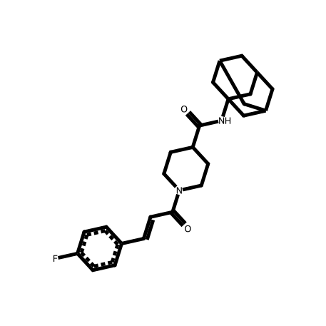 O=C(NC12CC3CC(CC(C3)C1)C2)C1CCN(C(=O)/C=C/c2ccc(F)cc2)CC1